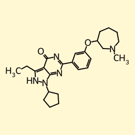 CCc1[nH]n(C2CCCC2)c2nc(-c3cccc(OC4CCCCN(C)C4)c3)nc(=O)c1-2